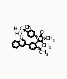 C=Nc1ccc(-c2cnc3ccccc3c2)cc1-c1c(C)n(C)c(=O)n1-c1ccc(C(C)(C)C#N)cc1